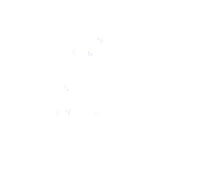 Cn1ncc2c1-c1cnc(N)c(c1)OCc1cc(F)ccc1OCCC2